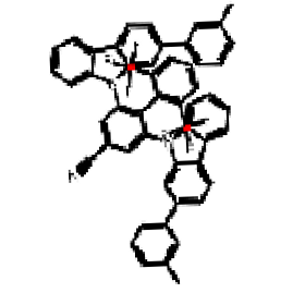 Cc1cccc(-c2ccc3c4ccccc4n(-c4cc(C#N)cc(-n5c6ccccc6c6ccc(-c7cccc(C)c7)cc65)c4-c4c(C(F)(F)F)cccc4C(F)(F)F)c3c2)c1